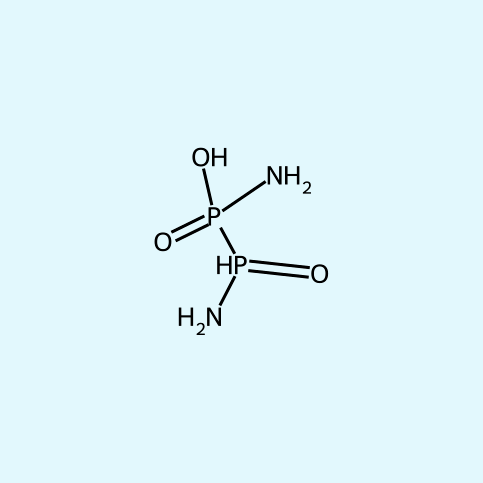 N[PH](=O)P(N)(=O)O